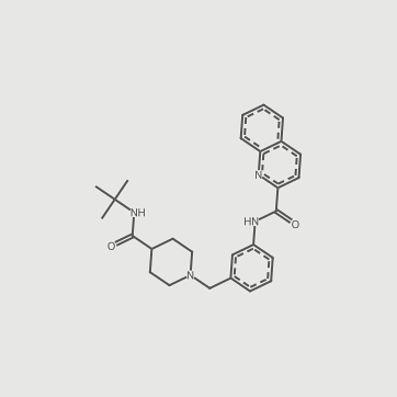 CC(C)(C)NC(=O)C1CCN(Cc2cccc(NC(=O)c3ccc4ccccc4n3)c2)CC1